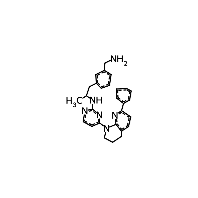 CC(Cc1cccc(CN)c1)Nc1nccc(N2CCCc3ccc(-c4ccccc4)nc32)n1